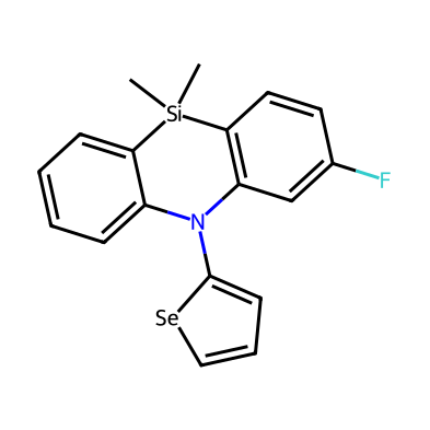 C[Si]1(C)c2ccccc2N(c2ccc[se]2)c2cc(F)ccc21